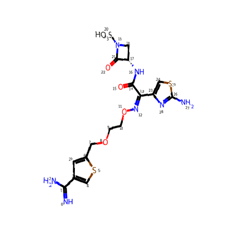 N=C(N)c1csc(COCCO/N=C(\C(=O)N[C@H]2CN(S(=O)(=O)O)C2=O)c2csc(N)n2)c1